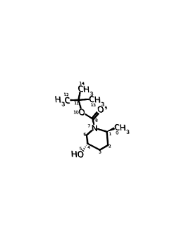 C[C@H]1CC[C@H](O)CN1C(=O)OC(C)(C)C